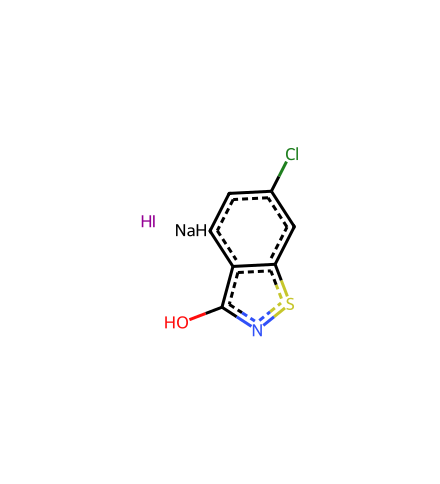 I.Oc1nsc2cc(Cl)ccc12.[NaH]